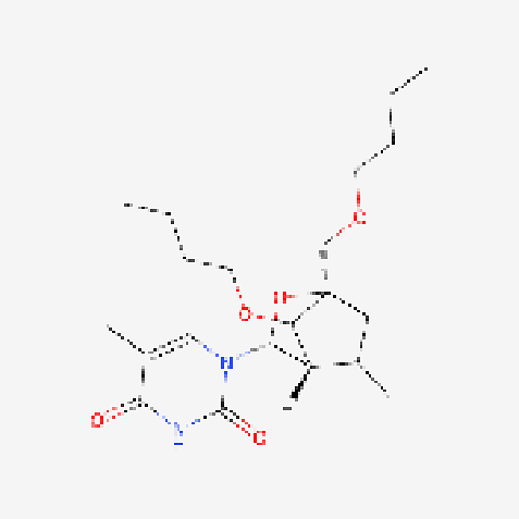 CCCCOC[C@]12CC(C)[C@@H](C1OCCCC)[C@H](n1cc(C)c(=O)[nH]c1=O)O2